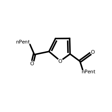 CCCCCC(=O)c1ccc(C(=O)CCCCC)o1